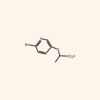 CC(Oc1ccc(Br)nc1)C(=O)O